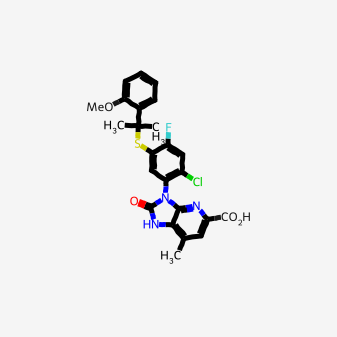 COc1ccccc1C(C)(C)Sc1cc(-n2c(=O)[nH]c3c(C)cc(C(=O)O)nc32)c(Cl)cc1F